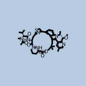 CCn1c(-c2cc(C)cnc2[C@H](C)OC)c2c3cc(ccc31)C1CSC(=N1)C[C@H](NC(=O)[C@H](C(C)C)N(C)C(C)=O)C(=O)N1CCC[C@@](O)(N1)C(=O)OCC(C)(C)C2